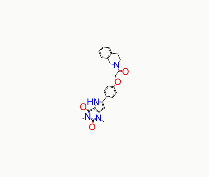 Cn1c(=O)c2[nH]c(-c3ccc(OCC(=O)N4CCc5ccccc5C4)cc3)cc2n(C)c1=O